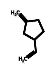 C=CC1CCC(=C)C1